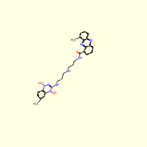 Cc1ccc2c(c1)N(O)C(NCCCNCCCNC(=O)c1cccc3nc4cccc(C)c4nc13)=NN2O